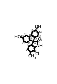 Cc1ccc2c(c1Cl)NC(=O)C2(c1ccc(O)cc1)c1ccc(O)cc1